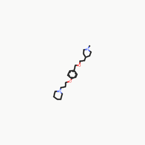 CN1CCC(CCOCc2ccc(OCCCN3CCCCC3)cc2)CC1